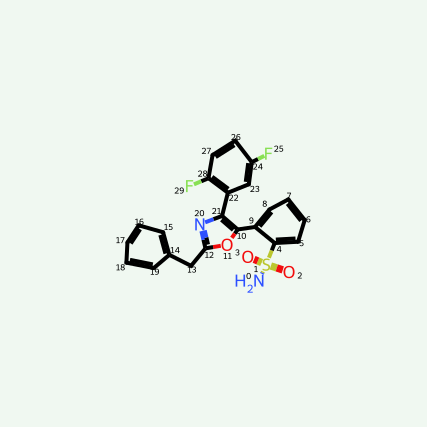 NS(=O)(=O)c1ccccc1-c1oc(Cc2ccccc2)nc1-c1cc(F)ccc1F